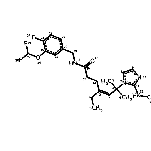 CC/C(=C/C(C)(C)n1ccnc1NC)CCC(=O)NCc1ccc(F)c(OC(F)F)c1